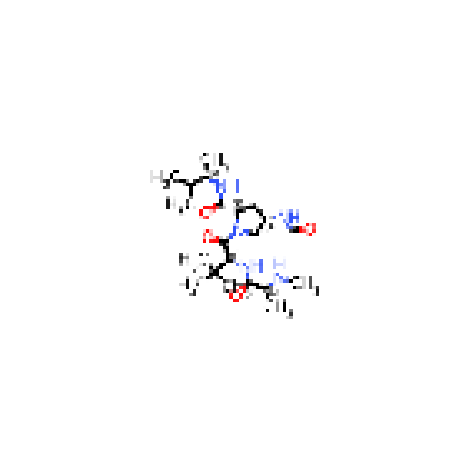 CN[C@@H](C)C(=O)N[C@H](C(=O)N1C[C@@H](NC=O)C[C@H]1C(=O)N[C@H](C)C(C)C)C(C)(C)C